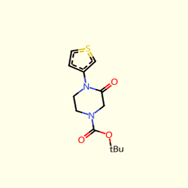 CC(C)(C)OC(=O)N1CCN(c2ccsc2)C(=O)C1